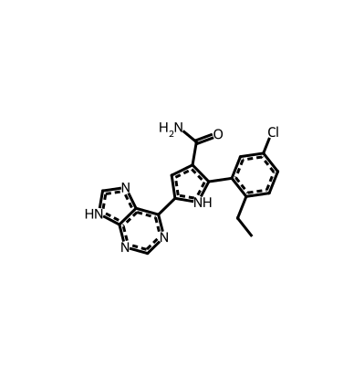 CCc1ccc(Cl)cc1-c1[nH]c(-c2ncnc3[nH]cnc23)cc1C(N)=O